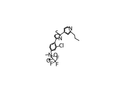 CCCc1cc(-c2nc(-c3ccc(N(C)S(=O)(=O)C(F)(F)F)cc3Cl)cs2)ccn1